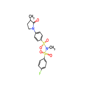 CC1CCN(c2ccc(S(=O)(=O)N(C)S(=O)(=O)c3ccc(F)cc3)cc2)C1=O